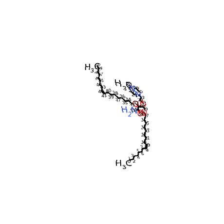 CCCCCCCC/C=C\CCCCCCCCOCC(OCCN1CCN(C)CC1)C(OCCCCCCCC/C=C\CCCCCCCC)C(N)=O